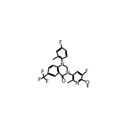 COc1nc(C)c(N2CN(c3ccc(F)cc3C)c3ccc(C(F)(F)F)cc3C2=O)cc1F